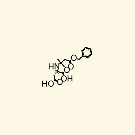 CC(C)(CC(=O)OCc1ccccc1)N[C@@H](CC(=O)O)C(=O)O